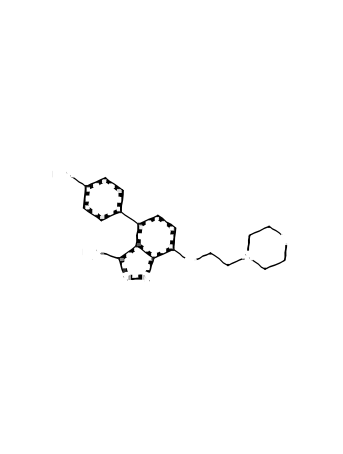 Nc1ccc(-c2ccc(OCCN3CCOCC3)c3[nH]nc(N)c23)cc1